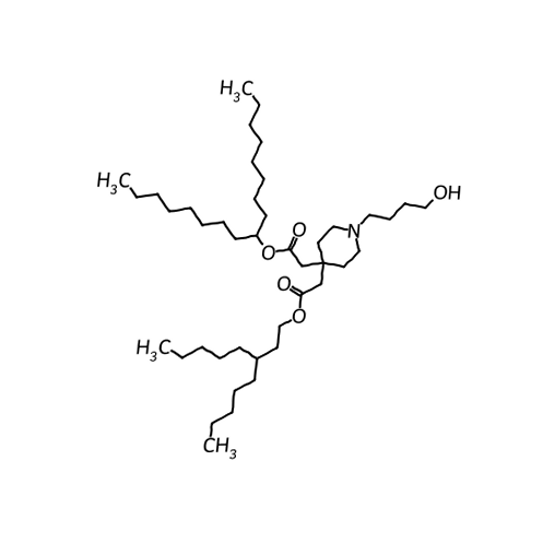 CCCCCCCCC(CCCCCCCC)OC(=O)CC1(CC(=O)OCCC(CCCCC)CCCCC)CCN(CCCCO)CC1